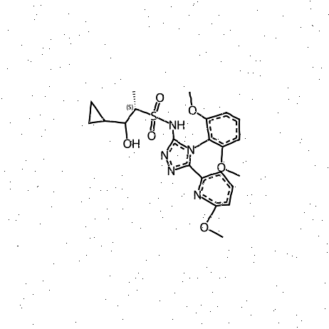 COc1cccc(-c2nnc(NS(=O)(=O)[C@@H](C)C(O)C3CC3)n2-c2c(OC)cccc2OC)n1